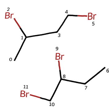 CC(Br)CCBr.CCC(Br)CBr